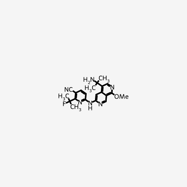 COc1ncc(C(C)(C)N)c2cc(Nc3ccc(C#N)c(C(C)(C)F)n3)ncc12